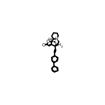 CC[C@]12OC(=O)C=C1C(C#Cc1ccc(-c3ccccc3)cc1)=CCN1CCCC[C@@H]12